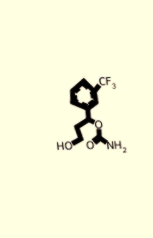 NC(=O)OC(CCO)c1cccc(C(F)(F)F)c1